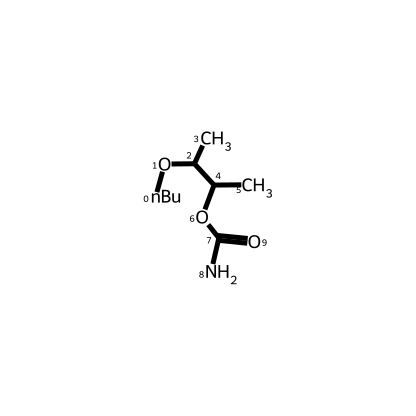 CCCCOC(C)C(C)OC(N)=O